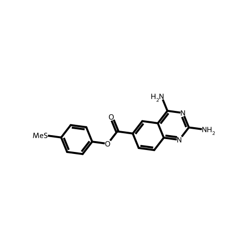 CSc1ccc(OC(=O)c2ccc3nc(N)nc(N)c3c2)cc1